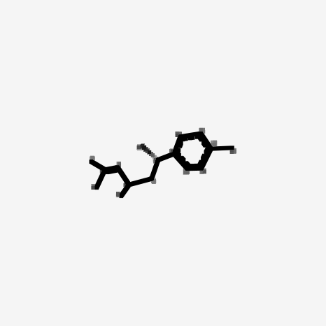 CC(C)=CC(C)C[C@H](C)c1ccc(C)cc1